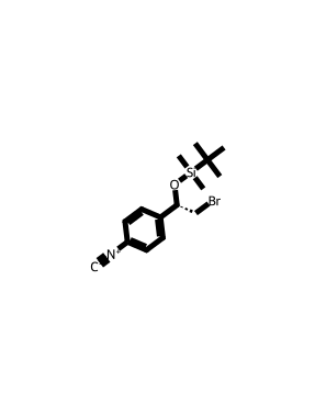 [C-]#[N+]c1ccc([C@@H](CBr)O[Si](C)(C)C(C)(C)C)cc1